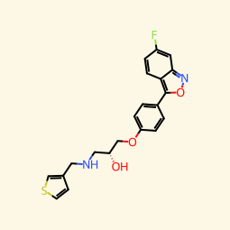 O[C@H](CNCc1ccsc1)COc1ccc(-c2onc3cc(F)ccc23)cc1